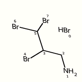 Br.NCC(Br)C(Br)Br